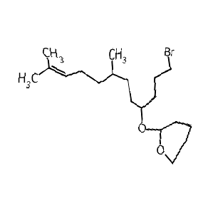 CC(C)=CCCC(C)CCC(CCCBr)OC1CCCCO1